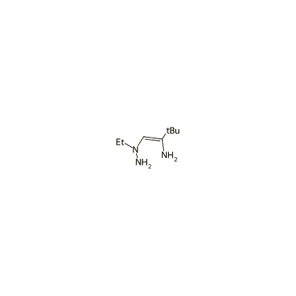 CCN(N)/C=C(\N)C(C)(C)C